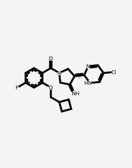 N=C1CN(C(=O)c2ccc(F)cc2OCC2CCC2)C/C1=C1\N=CC(Cl)=CN1